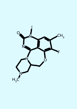 Cc1cc2c3c(nc(=O)n2I)N2CCN(C)CC2COc3c1F